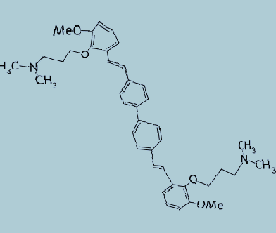 COc1cccc(/C=C/c2ccc(-c3ccc(/C=C/c4cccc(OC)c4OCCCN(C)C)cc3)cc2)c1OCCCN(C)C